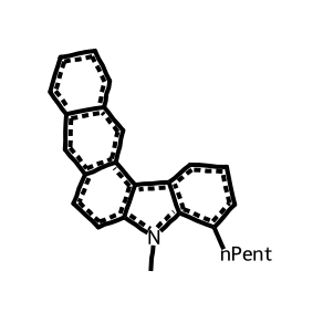 CCCCCc1cccc2c3c4cc5ccccc5cc4ccc3n(C)c12